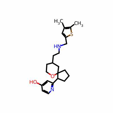 Cc1cc(CNCCC2CCOC3(CCCC3c3cc(O)ccn3)C2)sc1C